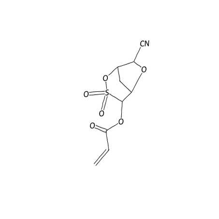 C=CC(=O)OC1C2CC(OS1(=O)=O)C(C#N)O2